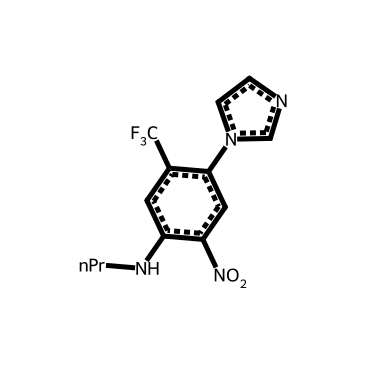 CCCNc1cc(C(F)(F)F)c(-n2ccnc2)cc1[N+](=O)[O-]